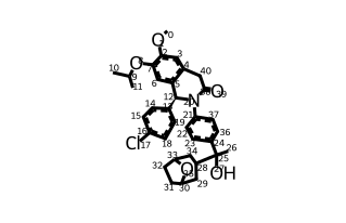 COc1cc2c(cc1OC(C)C)[C@H](c1ccc(Cl)cc1)N(c1ccc(C(C)(O)C3CC4CCC(C3)O4)cc1)C(=O)C2